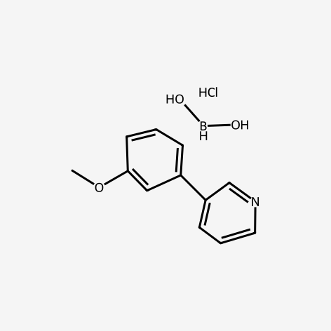 COc1cccc(-c2cccnc2)c1.Cl.OBO